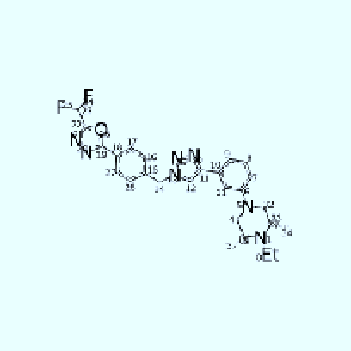 CCN1[C@H](C)CN(c2cccc(-c3cn(Cc4ccc(-c5nnc(C(F)F)o5)cc4)nn3)c2)C[C@@H]1C